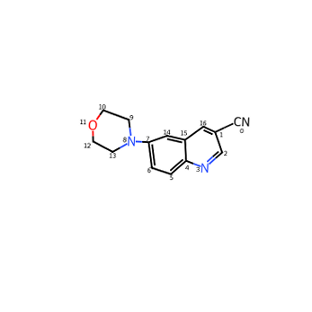 N#Cc1cnc2ccc(N3CCOCC3)cc2c1